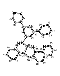 c1ccc(-c2cc(-c3nc4ccccc4c4cc5ccc6cccnc6c5nc34)cc(-c3ccccc3)n2)cc1